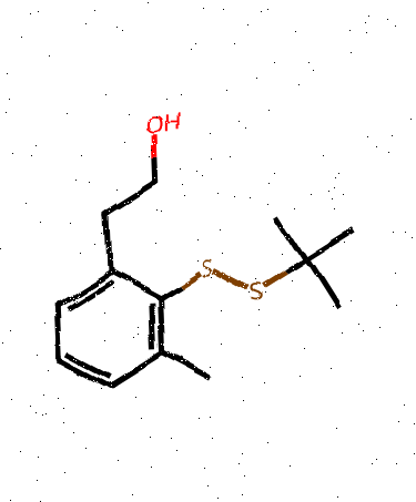 Cc1cccc(CCO)c1SSC(C)(C)C